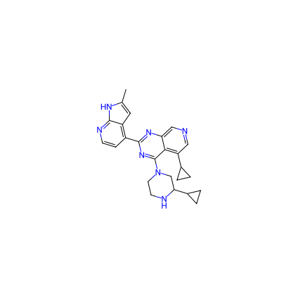 Cc1cc2c(-c3nc(N4CCNC(C5CC5)C4)c4c(C5CC5)cncc4n3)ccnc2[nH]1